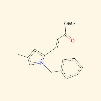 COC(=O)C=Cc1cc(C)cn1Cc1ccccc1